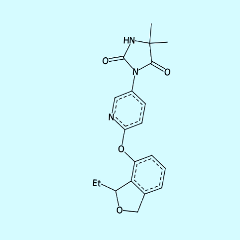 CCC1OCc2cccc(Oc3ccc(N4C(=O)NC(C)(C)C4=O)cn3)c21